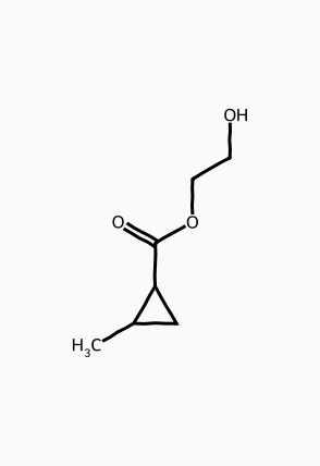 CC1CC1C(=O)OCCO